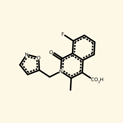 Cc1c(C(=O)O)c2cccc(F)c2c(=O)n1Cc1ccno1